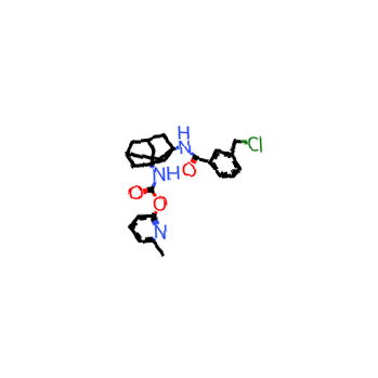 Cc1cccc(OC(=O)NC23CC4CC(C2)CC(NC(=O)c2cccc(CCl)c2)(C4)C3)n1